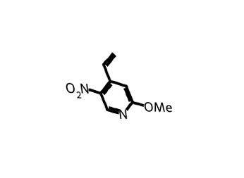 C=Cc1cc(OC)ncc1[N+](=O)[O-]